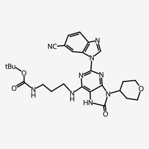 CC(C)(C)OC(=O)NCCCNc1nc(-n2cnc3ccc(C#N)cc32)nc2c1[nH]c(=O)n2C1CCOCC1